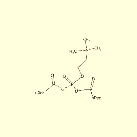 CCCCCCCCCCC(=O)OP(=O)(OCC[N+](C)(C)C)OC(=O)CCCCCCCCCC